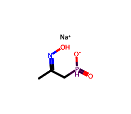 CC(C[PH](=O)[O-])=NO.[Na+]